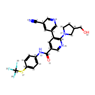 N#Cc1cncc(-c2cc(C(=O)Nc3ccc(SC(F)(F)F)cc3)cnc2N2CCC(CO)C2)c1